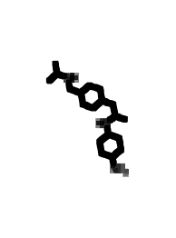 CC(C)NCC1CCC(CC(C)NC2CCC(N)CC2)CC1